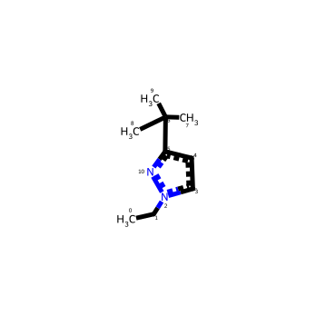 CCn1[c]cc(C(C)(C)C)n1